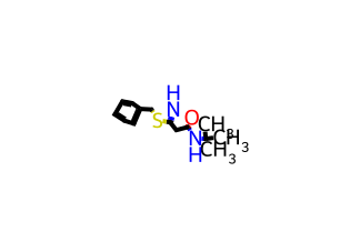 CC(C)(C)NC(=O)CC(=N)SCc1ccccc1